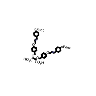 CCCCCC1CCC(/C=C/COc2ccc(CO[C@@H](C(=O)O)[C@@H](OCc3ccc(OC/C=C/C4CCC(CCCCC)CC4)cc3)C(=O)O)cc2)CC1